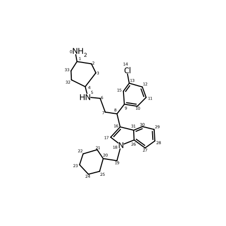 NC1CCC(NCCC(c2cccc(Cl)c2)c2cn(CC3CCCCC3)c3ccccc23)CC1